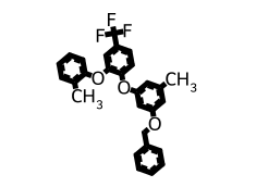 Cc1cc(OCc2ccccc2)cc(Oc2ccc(C(F)(F)F)cc2Oc2ccccc2C)c1